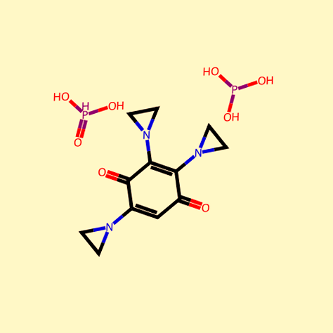 O=C1C=C(N2CC2)C(=O)C(N2CC2)=C1N1CC1.O=[PH](O)O.OP(O)O